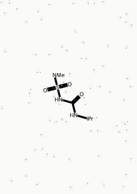 CNS(=O)(=O)NC(=O)NC(C)C